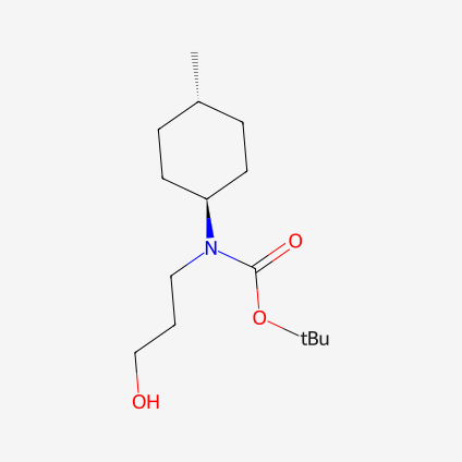 CC(C)(C)OC(=O)N(CCCO)[C@H]1CC[C@H](C)CC1